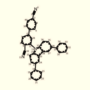 N#Cc1ccc(-c2ccc(C#N)c(-n3c4ccc(-c5ccccc5)cc4c4cc(-c5ccccc5)ccc43)c2)cc1